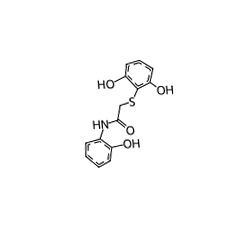 O=C(CSc1c(O)cccc1O)Nc1ccccc1O